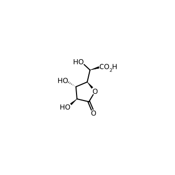 O=C1O[C@H]([C@@H](O)C(=O)O)[C@@H](O)[C@@H]1O